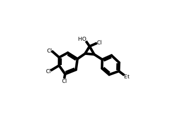 CCc1ccc(C2C(c3cc(Cl)c(Cl)c(Cl)c3)C2(O)Cl)cc1